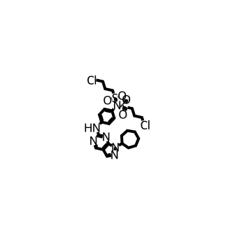 O=S(=O)(CCCCl)N(c1ccc(Nc2ncc3cnn(C4CCCCCC4)c3n2)cc1)S(=O)(=O)CCCCl